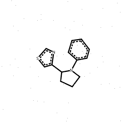 c1ccc(N2CCCC2c2cscn2)cc1